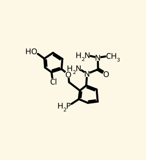 CN(N)C(=O)N(N)c1cccc(P)c1COc1ccc(O)cc1Cl